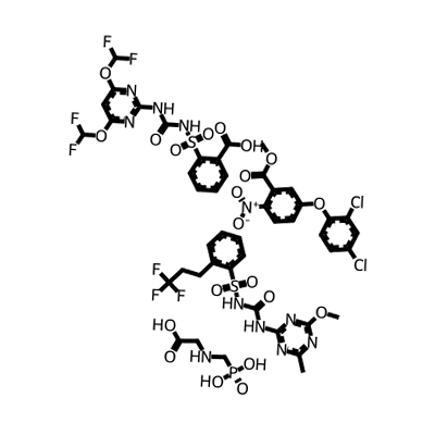 COC(=O)c1cc(Oc2ccc(Cl)cc2Cl)ccc1[N+](=O)[O-].COc1nc(C)nc(NC(=O)NS(=O)(=O)c2ccccc2CCC(F)(F)F)n1.O=C(Nc1nc(OC(F)F)cc(OC(F)F)n1)NS(=O)(=O)c1ccccc1C(=O)O.O=C(O)CNCP(=O)(O)O